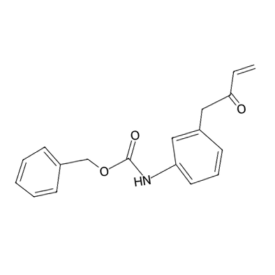 C=CC(=O)Cc1cccc(NC(=O)OCc2ccccc2)c1